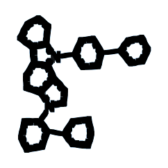 c1ccc(-c2ccc(-n3c4ccccc4c4ccc5c(ccn5-c5ccccc5-c5ccccc5)c43)cc2)cc1